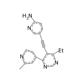 CCc1ncnc(-c2ccnc(C)c2)c1C#Cc1ccc(N)nc1